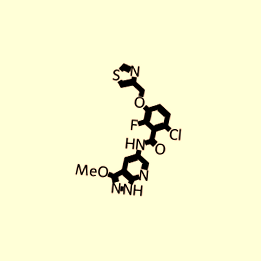 COc1n[nH]c2ncc(NC(=O)c3c(Cl)ccc(OCc4cscn4)c3F)cc12